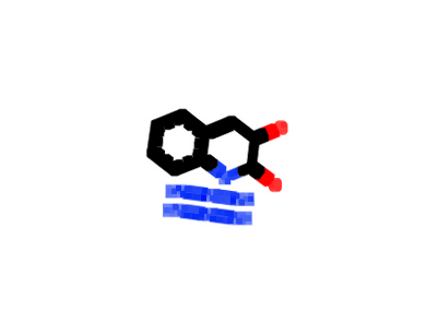 N=[N+]=N.N=[N+]=N.O=C1C=c2ccccc2=NC1=O